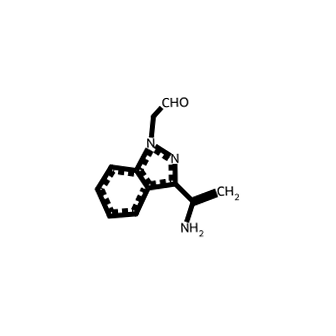 C=C(N)c1nn(CC=O)c2ccccc12